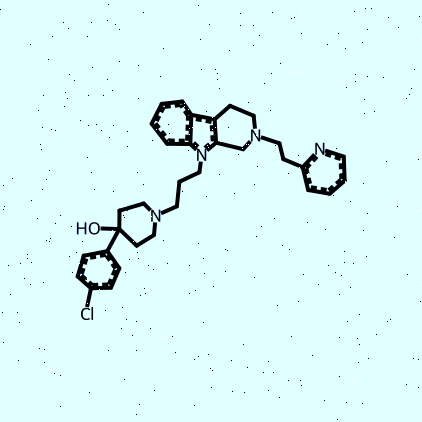 OC1(c2ccc(Cl)cc2)CCN(CCCn2c3c(c4ccccc42)CCN(CCc2ccccn2)C3)CC1